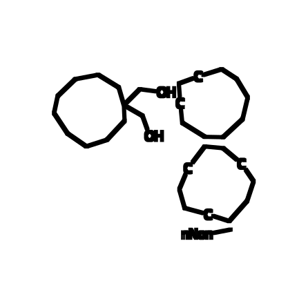 C1CCCCCCCCC1.C1CCCCCCCCC1.CCCCCCCCCC.OCC1(CO)CCCCCCCCC1